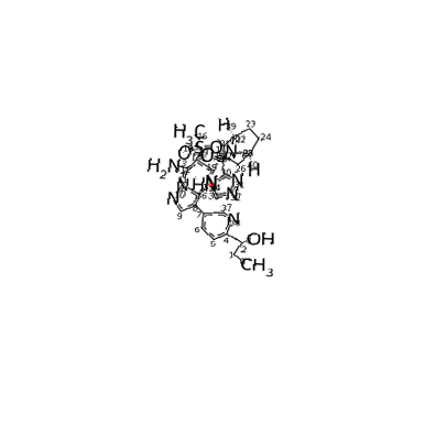 CCC(O)c1ccc(-c2cnn3c(N)c(S(C)(=O)=O)c([C@@H]4C[C@H]5CC[C@@H](C4)N5C(=O)c4nnc[nH]4)nc23)cn1